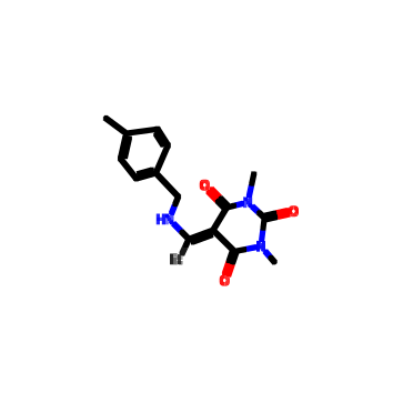 CCC(NCc1ccc(C)cc1)=C1C(=O)N(C)C(=O)N(C)C1=O